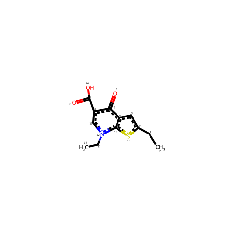 CCc1cc2c(=O)c(C(=O)O)cn(CC)c2s1